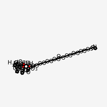 CC(=O)O[C@@]12COC1C[C@H](OC(=O)OCCOCCOCCOCCOCCOCCOCCOC(=O)CCOCCOCCOCCOCCOCCOCCOCCOCCSSc1ccccn1)[C@@]1(C)C(=O)[C@H](C)C3=C(C)[C@@H](OC(=O)[C@H](O[Si](C)(C)C(C)(C)C)[C@@H](NC(=O)c4ccccc4)c4ccccc4)C[C@@](O)([C@@H](OC(=O)c4ccccc4)[C@@H]12)C3(C)C